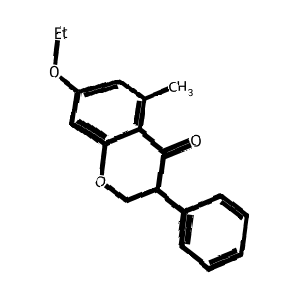 CCOc1cc(C)c2c(c1)OCC(c1ccccc1)C2=O